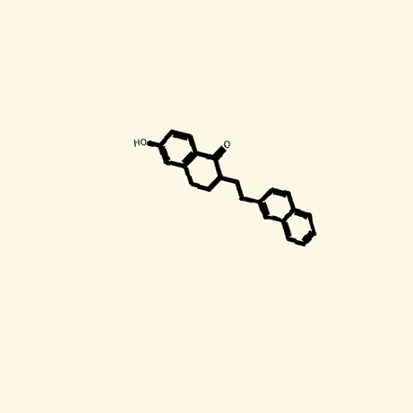 O=C1c2ccc(O)cc2CCC1CCc1ccc2ccccc2c1